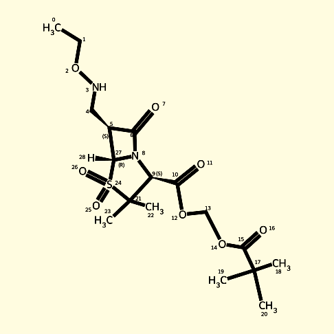 CCONC[C@H]1C(=O)N2[C@@H](C(=O)OCOC(=O)C(C)(C)C)C(C)(C)S(=O)(=O)[C@H]12